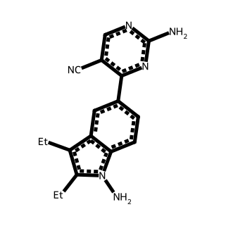 CCc1c(CC)n(N)c2ccc(-c3nc(N)ncc3C#N)cc12